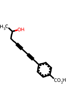 CC(O)CC#CC#Cc1ccc(C(=O)O)cc1